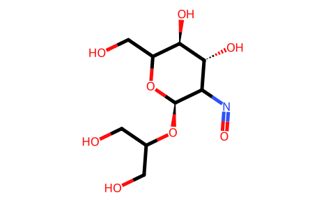 O=NC1[C@@H](OC(CO)CO)OC(CO)[C@@H](O)[C@@H]1O